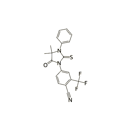 CC1(C)C(=O)N(c2ccc(C#N)c(C(F)(F)F)c2)C(=S)N1c1ccccc1